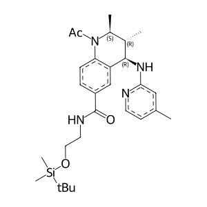 CC(=O)N1c2ccc(C(=O)NCCO[Si](C)(C)C(C)(C)C)cc2[C@H](Nc2cc(C)ccn2)[C@@H](C)[C@@H]1C